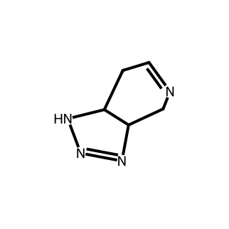 C1=NCC2N=NNC2C1